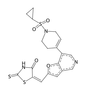 O=C1NC(=S)SC1=Cc1cc2cncc(C3=CCN(S(=O)(=O)C4CC4)CC3)c2o1